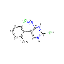 N#Cc1cccc(Cl)c1-c1cnc(Cl)nc1N